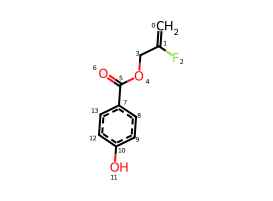 C=C(F)COC(=O)c1ccc(O)cc1